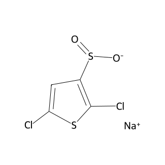 O=S([O-])c1cc(Cl)sc1Cl.[Na+]